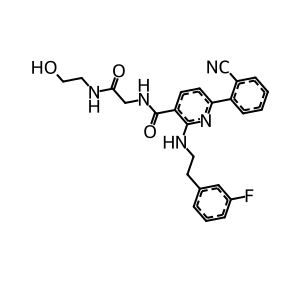 N#Cc1ccccc1-c1ccc(C(=O)NCC(=O)NCCO)c(NCCc2cccc(F)c2)n1